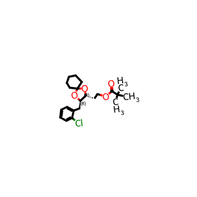 CC(C)(C)C(=O)OCC[C@H]1OC2(CCCCC2)O[C@@H]1Cc1ccccc1Cl